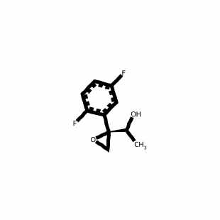 CC(O)[C@@]1(c2cc(F)ccc2F)CO1